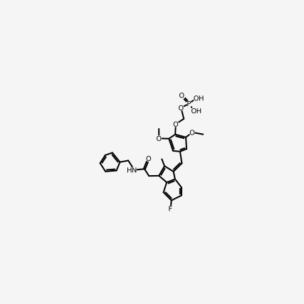 COc1cc(C=C2C(C)=C(CC(=O)NCc3ccccc3)c3cc(F)ccc32)cc(OC)c1OCOP(=O)(O)O